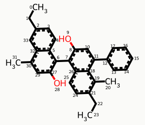 CCc1ccc2c(-c3c(O)cc(-c4ccccc4)c4c(C)c(CC)ccc34)c(O)cc(C)c2c1